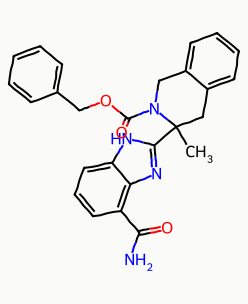 CC1(c2nc3c(C(N)=O)cccc3[nH]2)Cc2ccccc2CN1C(=O)OCc1ccccc1